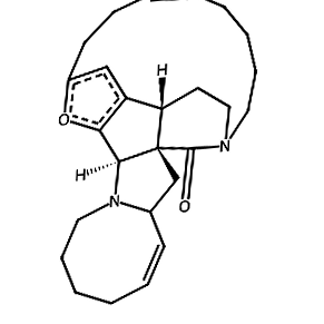 O=C1N2CCCC/C=C\CCc3cc4c(o3)[C@@H]3N5CCCC/C=C\C5C[C@@]13[C@H]4CC2